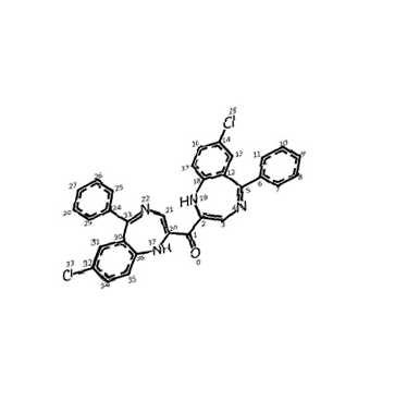 O=C(C1=CN=C(c2ccccc2)c2cc(Cl)ccc2N1)C1=CN=C(c2ccccc2)c2cc(Cl)ccc2N1